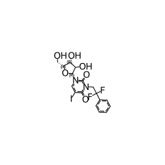 O=c1c(I)cn([C@@H]2O[C@H](CO)[C@H](O)C2O)c(=O)n1CC(F)(F)c1ccccc1